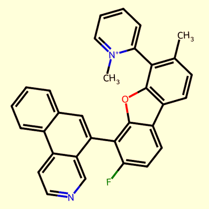 Cc1ccc2c(oc3c(-c4cc5ccccc5c5ccncc45)c(F)ccc32)c1-c1cccc[n+]1C